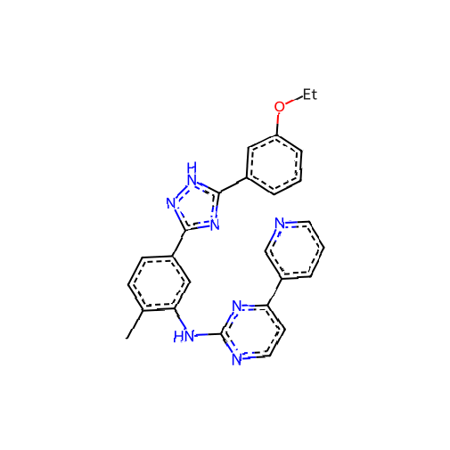 CCOc1cccc(-c2nc(-c3ccc(C)c(Nc4nccc(-c5cccnc5)n4)c3)n[nH]2)c1